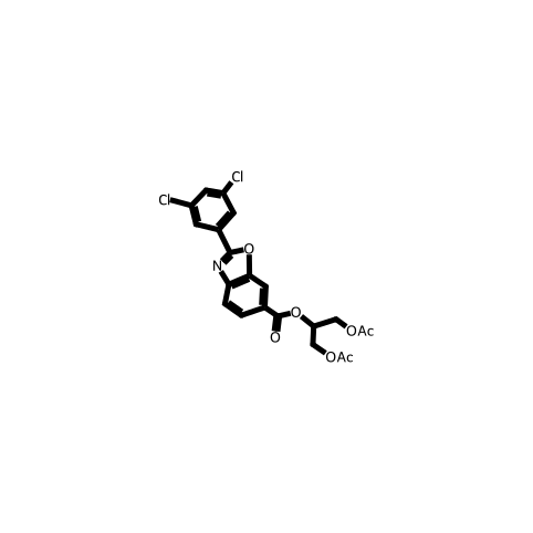 CC(=O)OCC(COC(C)=O)OC(=O)c1ccc2nc(-c3cc(Cl)cc(Cl)c3)oc2c1